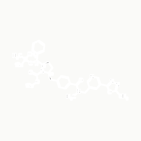 Cc1nnc(-c2cncc(CN(C)C(=O)c3ccc(C[C@@H]4CC[C@H]([C@H](O[Si](C)(C)C(C)(C)C)c5ccccc5)N4C(=O)OC(C)(C)C)cc3)c2)o1